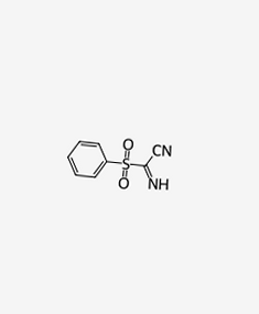 N#CC(=N)S(=O)(=O)c1ccccc1